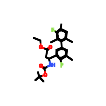 CCOC(=O)CC(NC(=O)OC(C)(C)C)c1cc(-c2c(C)cc(C)c(F)c2C)cc(C)c1F